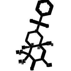 CC1(C)C(=O)C(C#N)=C[C@@]2(C)CN(S(=O)(=O)c3ccccc3)CC[C@H]12